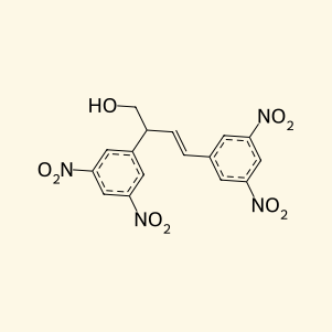 O=[N+]([O-])c1cc(C=CC(CO)c2cc([N+](=O)[O-])cc([N+](=O)[O-])c2)cc([N+](=O)[O-])c1